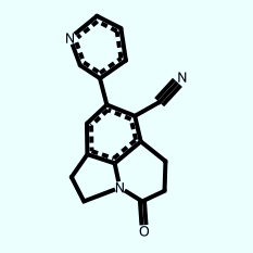 N#Cc1c(-c2cccnc2)cc2c3c1CCC(=O)N3CC2